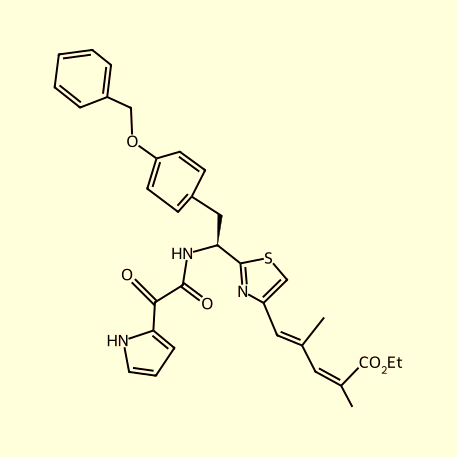 CCOC(=O)/C(C)=C\C(C)=C\c1csc([C@H](Cc2ccc(OCc3ccccc3)cc2)NC(=O)C(=O)c2ccc[nH]2)n1